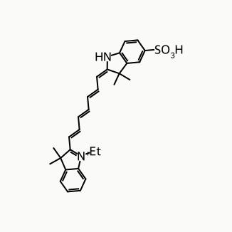 CC[N+]1=C(/C=C/C=C/C=C/C=C2/Nc3ccc(S(=O)(=O)O)cc3C2(C)C)C(C)(C)c2ccccc21